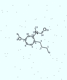 CCCCc1ccc(OC)cc1N(C)C=O